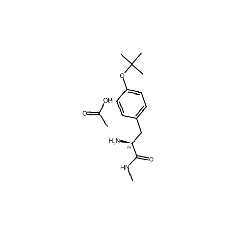 CC(=O)O.CNC(=O)[C@@H](N)Cc1ccc(OC(C)(C)C)cc1